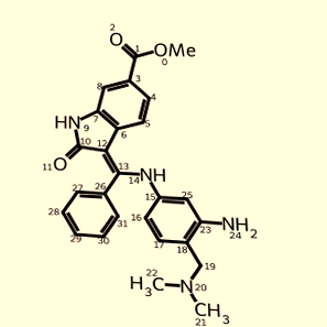 COC(=O)c1ccc2c(c1)NC(=O)C2=C(Nc1ccc(CN(C)C)c(N)c1)c1ccccc1